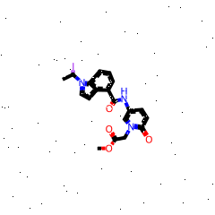 COC(=O)Cn1cc(NC(=O)c2cccc3c2ccn3C(C)I)ccc1=O